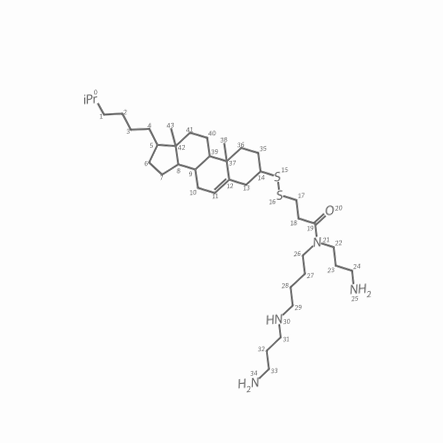 CC(C)CCCCC1CCC2C3CC=C4CC(SSCCC(=O)N(CCCN)CCCCNCCCN)CCC4(C)C3CCC12C